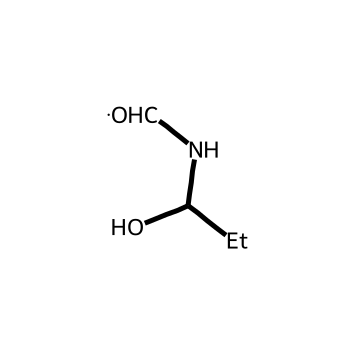 CCC(O)N[C]=O